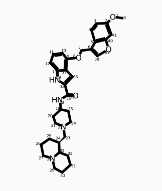 COc1ccc2c(COc3cccc4[nH]c(C(=O)NC5CCN(C[C@@H]6CCCN7CCCCC67)CC5)cc34)coc2c1